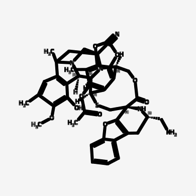 COc1c(C)cc2c(c1O)[C@@H]1[C@@H]3[C@@H]4SC[C@]5(N[C@H](CN)Cc6c5oc5ccccc65)C(=O)OC[C@@H](c5c6c(c(C)c(OC(C)=O)c54)OCO6)N3C3(C#N)CN1C2(C)C3